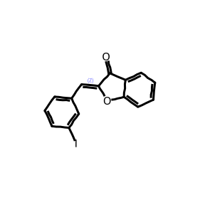 O=C1/C(=C/c2cccc(I)c2)Oc2ccccc21